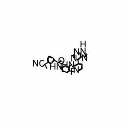 CC(C)(C#N)c1cccc(C(=O)Nc2ccc(F)c(Nc3ncccc3-c3ncnc4[nH]cnc34)c2)c1